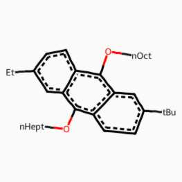 CCCCCCCCOc1c2ccc(CC)cc2c(OCCCCCCC)c2ccc(C(C)(C)C)cc12